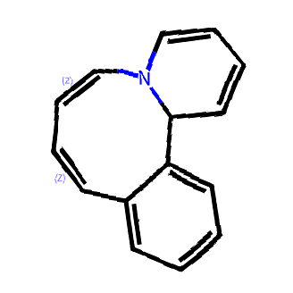 C1=CC2c3ccccc3/C=C\C=C/N2C=C1